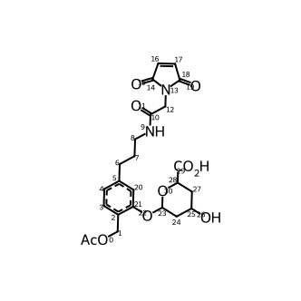 CC(=O)OCc1ccc(CCCNC(=O)CN2C(=O)C=CC2=O)cc1OC1CC(O)CC(C(=O)O)O1